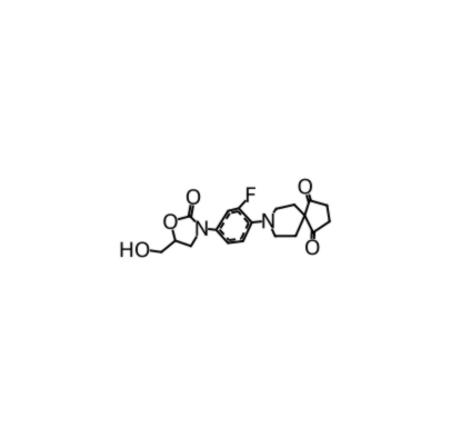 O=C1OC(CO)CN1c1ccc(N2CCC3(CC2)C(=O)CCC3=O)c(F)c1